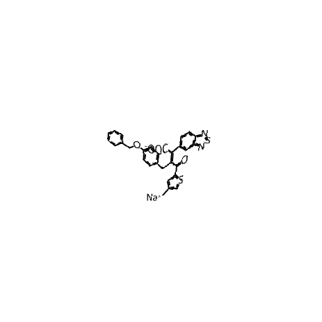 Cc1csc(C(=O)C(Cc2ccc(OCc3ccccc3)cc2)=C(C(=O)[O-])c2ccc3nsnc3c2)c1.[Na+]